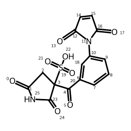 O=C1CC(C(=O)c2cccc(N3C(=O)C=CC3=O)c2)(S(=O)(=O)O)C(=O)N1